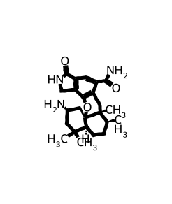 C[C@H]1CC[C@H]2C(C)(C)C[C@@H](N)C[C@]23Oc2c(c(C(N)=O)cc4c2CNC4=O)C[C@]13C